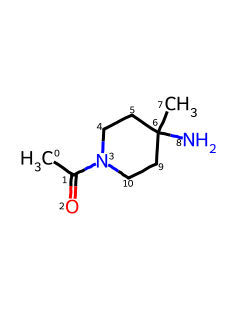 CC(=O)N1CCC(C)(N)CC1